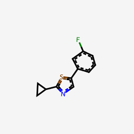 Fc1cccc(-c2cnc(C3CC3)s2)c1